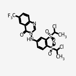 CC(Cl)S(=O)(=O)c1ccc(Nn2cnc3ccc(C(F)(F)F)cc3c2=O)cc1S(=O)(=O)C(C)Cl